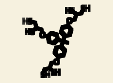 CC(c1ccc(OCC(S)CS)cc1)(c1ccc(OCC(S)CS)cc1)c1ccc(OCC(S)CS)cc1